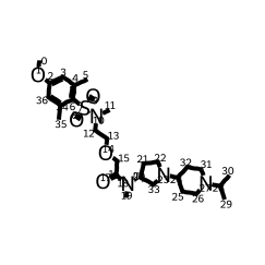 COc1cc(C)c(S(=O)(=O)N(C)CCOCC(=O)N(C)[C@@H]2CCN(C3CCN(C(C)C)CC3)C2)c(C)c1